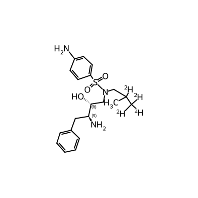 [2H]C([2H])([2H])C([2H])(C)CN(C[C@@H](O)[C@@H](N)Cc1ccccc1)S(=O)(=O)c1ccc(N)cc1